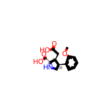 COc1ccccc1[C@H]1CN[C@H](C(=O)O)[C@H]1CC(=O)O